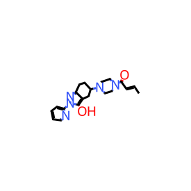 CC=CC(=O)N1CCN(C2CCc3nn(-c4ccccn4)c(O)c3C2)CC1